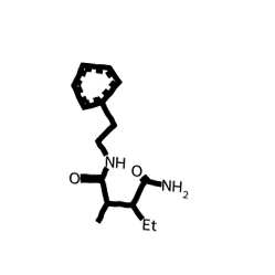 CCC(C(N)=O)C(C)C(=O)NCCc1ccccc1